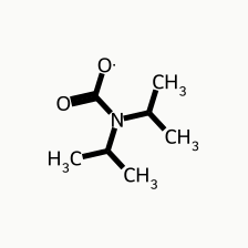 CC(C)N(C([O])=O)C(C)C